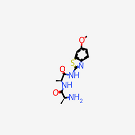 COc1ccc2nc(NC(=O)[C@H](C)NC(=O)[C@H](C)N)sc2c1